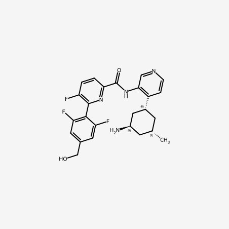 C[C@@H]1C[C@@H](N)C[C@H](c2ccncc2NC(=O)c2ccc(F)c(-c3c(F)cc(CO)cc3F)n2)C1